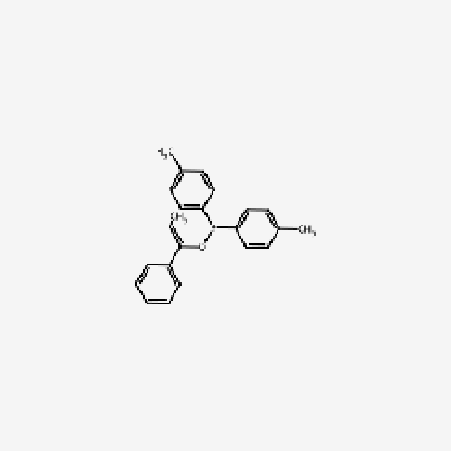 C/C=C(\OB(c1ccc(C)cc1)c1ccc(C)cc1)c1ccccc1